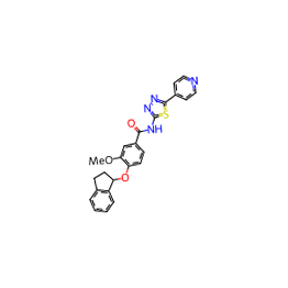 COc1cc(C(=O)Nc2nnc(-c3ccncc3)s2)ccc1OC1CCc2ccccc21